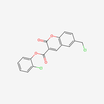 O=C(Oc1ccccc1Cl)c1cc2cc(CCl)ccc2oc1=O